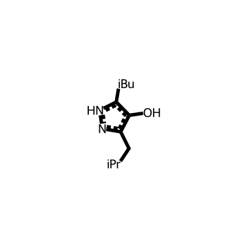 CCC(C)c1[nH]nc(CC(C)C)c1O